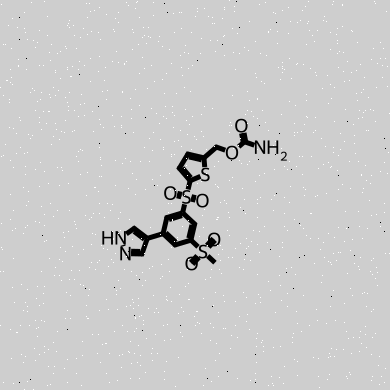 CS(=O)(=O)c1cc(-c2cn[nH]c2)cc(S(=O)(=O)c2ccc(COC(N)=O)s2)c1